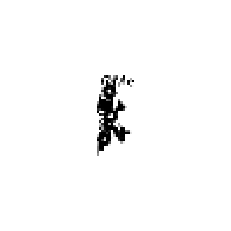 COc1ccc(CN(c2cc3oc(-c4ccc(F)cc4)c(-c4nc(C)c(C)[nH]4)c3cc2C2CC2)S(C)(=O)=O)cc1